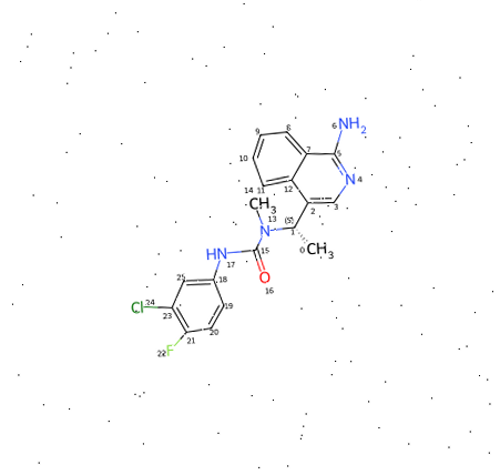 C[C@@H](c1cnc(N)c2ccccc12)N(C)C(=O)Nc1ccc(F)c(Cl)c1